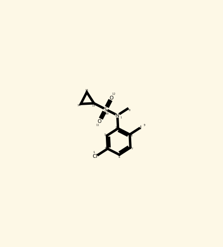 CN(c1cc(Cl)ccc1I)S(=O)(=O)C1CC1